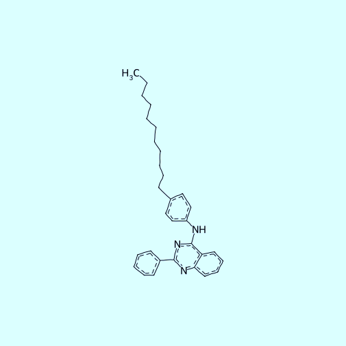 CCCCCCCCCCCc1ccc(Nc2nc(-c3ccccc3)nc3ccccc23)cc1